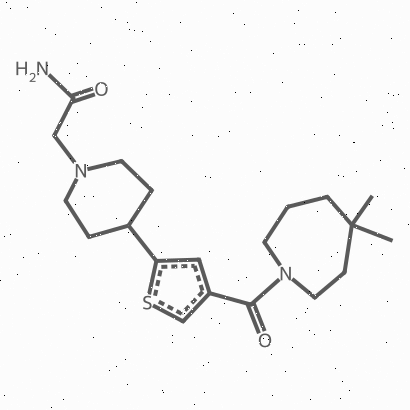 CC1(C)CCCN(C(=O)c2csc(C3CCN(CC(N)=O)CC3)c2)CC1